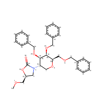 COC[C@@H]1CN([C@H]2CO[C@H](COCc3ccccc3)[C@H](OCc3ccccc3)[C@@H]2OCc2ccccc2)C(=O)O1